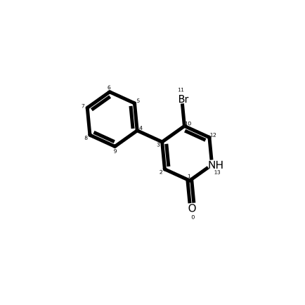 O=c1cc(-c2ccccc2)c(Br)c[nH]1